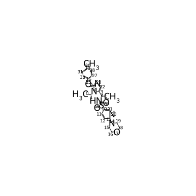 CCn1c(C(C)NS(=O)(=O)c2ccc(N3CCOCC3)nc2)cnc1Oc1ccc(C)cc1